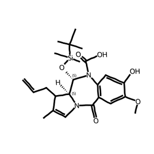 C=CCC1C(C)=CN2C(=O)c3cc(OC)c(O)cc3N(C(=O)O)[C@@H](O[Si](C)(C)C(C)(C)C)[C@H]12